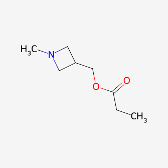 CCC(=O)OCC1CN(C)C1